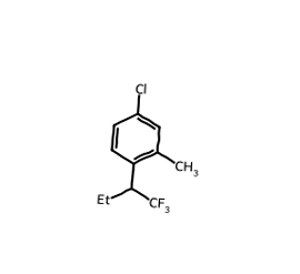 CCC(c1ccc(Cl)cc1C)C(F)(F)F